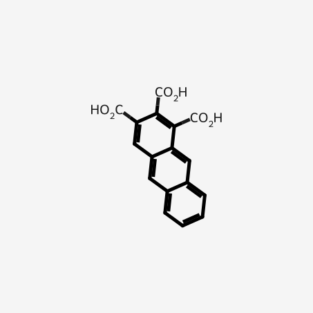 O=C(O)c1cc2cc3ccccc3cc2c(C(=O)O)c1C(=O)O